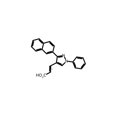 O=C(O)/C=C/c1cn(-c2ccccc2)nc1-c1ccc2ccccc2c1